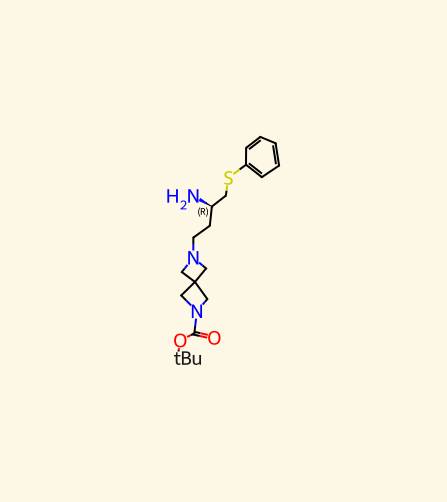 CC(C)(C)OC(=O)N1CC2(CN(CC[C@@H](N)CSc3ccccc3)C2)C1